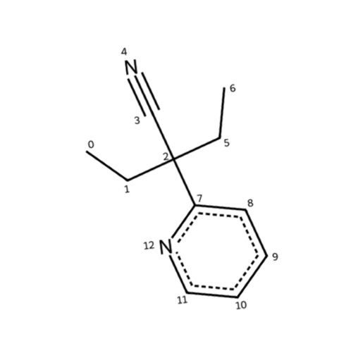 CCC(C#N)(CC)c1ccccn1